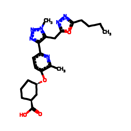 CCCCc1nnc(Cc2c(-c3ccc(O[C@H]4CCC[C@H](C(=O)O)C4)c(C)n3)nnn2C)o1